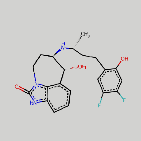 C[C@H](CCc1cc(F)c(F)cc1O)N[C@@H]1CCn2c(=O)[nH]c3cccc(c32)[C@H]1O